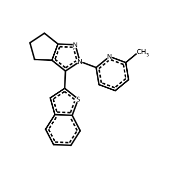 Cc1cccc(-n2nc3c(c2-c2cc4ccccc4s2)CCC3)n1